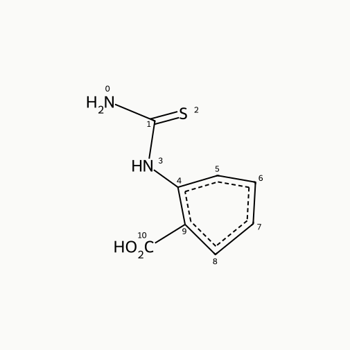 NC(=S)Nc1ccccc1C(=O)O